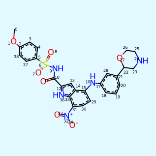 COc1ccc(S(=O)(=O)NC(=O)c2cc3c(Nc4cccc(C5CNCCO5)c4)ccc([N+](=O)[O-])c3[nH]2)cc1